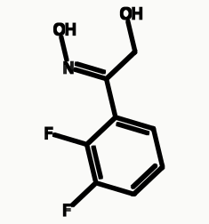 OC/C(=N\O)c1cccc(F)c1F